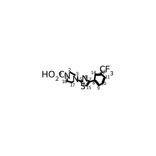 O=C(O)N1CCN(c2nc(-c3cccc(C(F)(F)F)c3)cs2)CC1